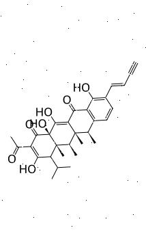 C#C/C=C/c1ccc2c(c1O)C(=O)C1=C(O)[C@@]3(O)C(=O)C(C(C)=O)=C(O)C(C(C)C)[C@@]3(C)[C@H](C)[C@@]1(C)[C@@H]2C